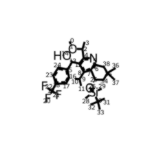 COC(C)c1nc2c(c(C(C)C)c1C(O)c1ccc(C(F)(F)F)cc1)[C@@H](O[Si](C)(C)C(C)(C)C)CC(C)(C)C2